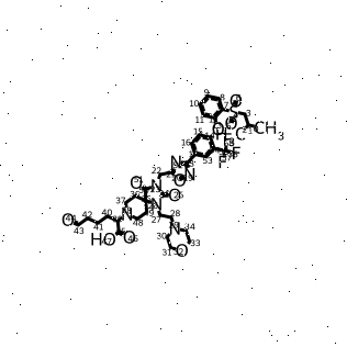 CC(C)CS(=O)(=O)c1ccccc1Oc1ccc(-c2noc(CN3C(=O)N(CCN4CCOCC4)C4(CCN(C(CCCC=O)C(=O)O)CC4)C3=O)n2)cc1C(F)(F)F